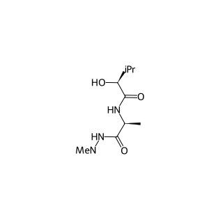 CNNC(=O)[C@H](C)NC(=O)[C@@H](O)C(C)C